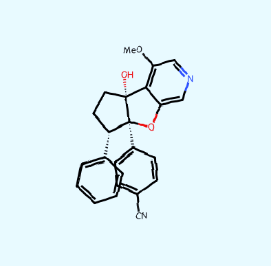 COc1cncc2c1[C@]1(O)CC[C@@H](c3ccccc3)[C@]1(c1ccc(C#N)cc1)O2